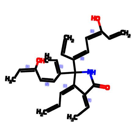 C=C/C=C1\C(=C/C)C(=O)NC1(/C(C=C)=C/C=C(/O)C=C)C(/C=C\C(O)=C/C)=C/C